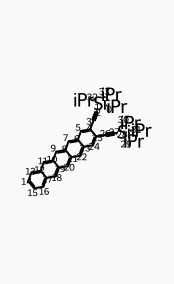 CC(C)[Si](C#Cc1cc2cc3cc4cc5ccccc5cc4cc3cc2cc1C#C[Si](C(C)C)(C(C)C)C(C)C)(C(C)C)C(C)C